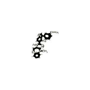 COc1ccc(OC)c(-c2c[nH]c3ccc(C(=O)N[C@H]4COc5ccccc5N(C)C4=O)cc23)c1